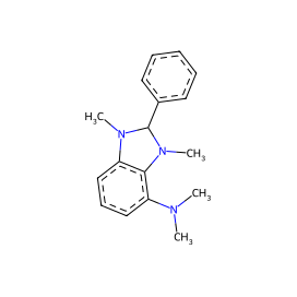 CN(C)c1cccc2c1N(C)C(c1ccccc1)N2C